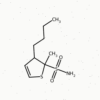 CCCCC1C=CSC1(C)S(N)(=O)=O